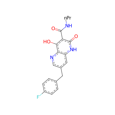 CCCNC(=O)c1c(O)c2ncc(Cc3ccc(F)cc3)cc2[nH]c1=O